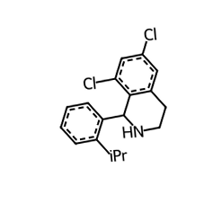 CC(C)c1ccccc1C1NCCc2cc(Cl)cc(Cl)c21